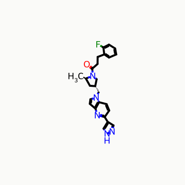 C[C@@H]1C[C@@H](Cn2ccc3nc(-c4cn[nH]c4)ccc32)CN1C(=O)CCc1ccccc1F